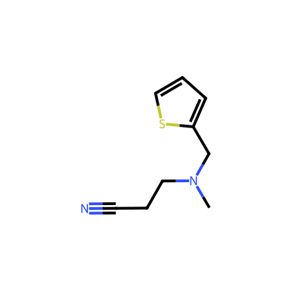 CN(CCC#N)Cc1cccs1